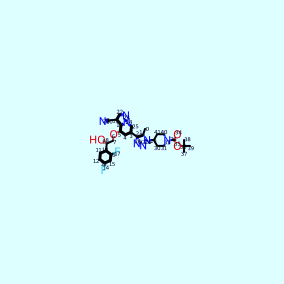 Cc1c(-c2cc(OCC(O)c3ccc(F)cc3F)c3c(C#N)cnn3c2)nnn1C1CCN(C(=O)OC(C)(C)C)CC1